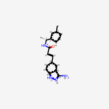 Cc1cccc([C@@H](C)NC(=O)/C=C/c2ccc3[nH]nc(N)c3c2)c1